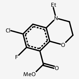 CCN1CCOc2c1cc(Cl)c(F)c2C(=O)OC